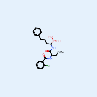 COCC(NC(=O)c1ccccc1Cl)C(=O)N[C@@H](CCCc1ccccc1)B(O)O